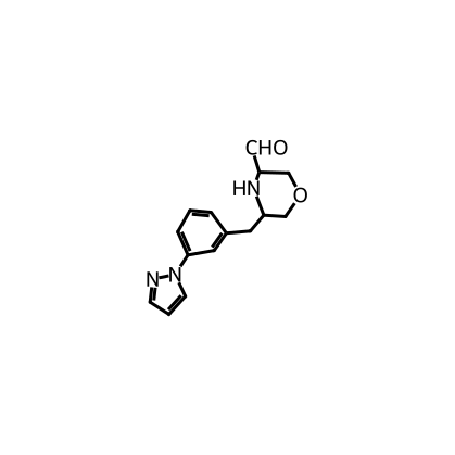 O=CC1COCC(Cc2cccc(-n3cccn3)c2)N1